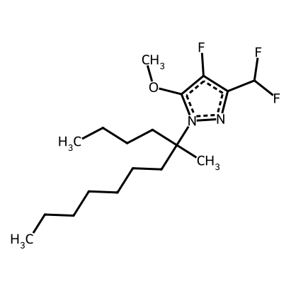 CCCCCCCC(C)(CCCC)n1nc(C(F)F)c(F)c1OC